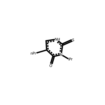 CCCc1c[nH]c(=S)n(C(C)C)c1=O